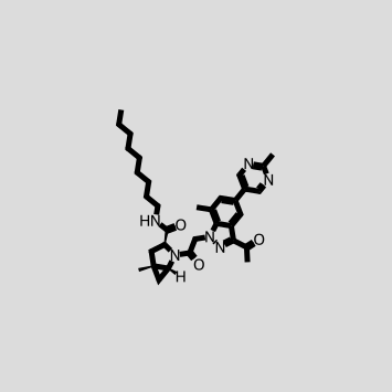 CCCCCCCCCNC(=O)[C@@H]1C[C@@]2(C)C[C@H]2N1C(=O)Cn1nc(C(C)=O)c2cc(-c3cnc(C)nc3)cc(C)c21